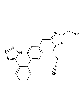 C#CCCn1nc(CC(C)C)nc1Cc1ccc(-c2ccccc2-c2nnn[nH]2)cc1